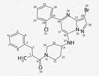 CC(Cc1ccccc1)C(=O)N1CCC(Nc2cc(-c3ccccc3Cl)nc3c(Br)cnn23)CC1